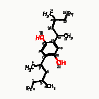 CC(C)CC(C)CC(C)c1cc(O)c(C(C)CC(C)CC(C)C)cc1O